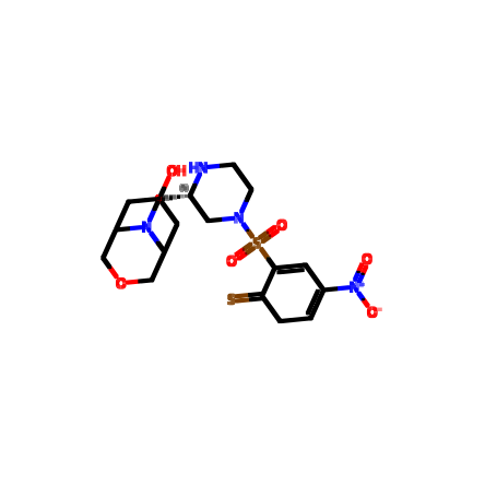 O=[N+]([O-])C1=CCC(=S)C(S(=O)(=O)N2CCN[C@@H](CN3C4COCC3CC(O)C4)C2)=C1